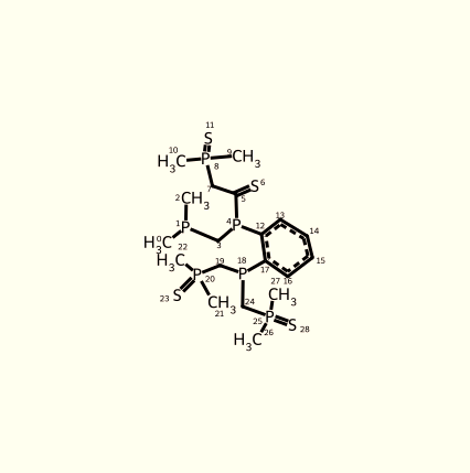 CP(C)CP(C(=S)CP(C)(C)=S)c1ccccc1P(CP(C)(C)=S)CP(C)(C)=S